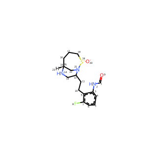 O=CNc1cccc(F)c1CCC1CN[C@@H]2CCC[S+]([O-])N1C2